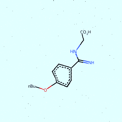 CCCCOc1ccc(C(=N)NCC(=O)O)cc1